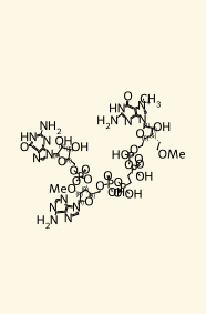 COCC[C@H]1[C@@H](O)[C@H](n2c[n+](C)c3c(=O)[nH]c(N)nc32)O[C@@H]1COP(=O)(O)OP(=O)(O)CCP(=O)(O)OP(=O)(O)OC[C@H]1O[C@@H](n2cnc3c(N)ncnc32)[C@H](OC)[C@@H]1OP(=O)([O-])OC[C@H]1O[C@@H](n2cnc3c(=O)[nH]c(N)nc32)[C@H](O)[C@@H]1O